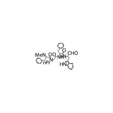 CCCN(CC(=O)NC(Cc1ccccc1)C(=O)NC(C=O)Cc1c[nH]c2ccccc12)C(=O)C(Cc1ccccc1)NC